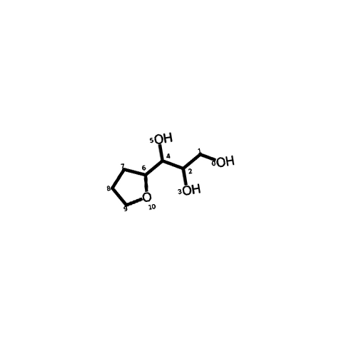 OCC(O)C(O)C1CCCO1